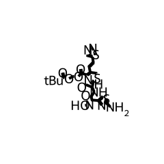 CC(C)(C)C(=O)OCOC(=O)C1=C(/C=C/c2cnns2)CS[C@@H]2C(NC(=O)/C(=N\O)c3csc(N)n3)C(=O)N12